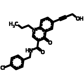 CCCn1cc(C(=O)NCc2ccc(Cl)cc2)c(=O)c2cc(C#CCO)ccc21